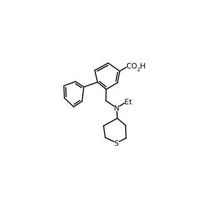 CCN(Cc1cc(C(=O)O)ccc1-c1ccccc1)C1CCSCC1